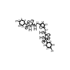 Cc1ccc(S(=O)(=O)NC(=O)NCc2ccc(CNC(=O)NS(=O)(=O)c3ccc(C)cc3)o2)cc1